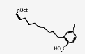 CCCCCCCC/C=C\CCCCCCCCc1cc(I)ccc1C(=O)O